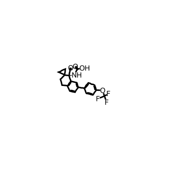 O=C[C@@]1(NC(=O)O)c2cc(-c3ccc(OC(F)(F)F)cc3)ccc2CCC12CC2